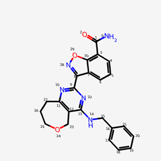 NC(=O)c1cccc2c(-c3nc4c(c(NCc5ccccc5)n3)COCCC4)noc12